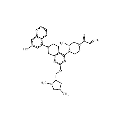 C=CC(=O)N1CCN(c2nc(OC[C@@H]3CC(C)CN3C)nc3c2CCN(c2cc(O)cc4ccccc24)C3)[C@@H](C)C1